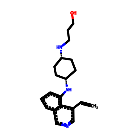 C=Cc1cncc2cccc(N[C@H]3CC[C@@H](NCCCO)CC3)c12